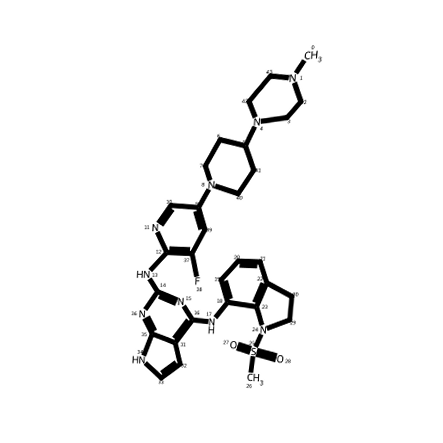 CN1CCN(C2CCN(c3cnc(Nc4nc(Nc5cccc6c5N(S(C)(=O)=O)CC6)c5cc[nH]c5n4)c(F)c3)CC2)CC1